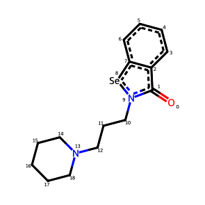 O=c1c2ccccc2[se]n1CCCN1CCCCC1